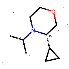 CC(C)N1CCOC[C@@H]1C1CC1